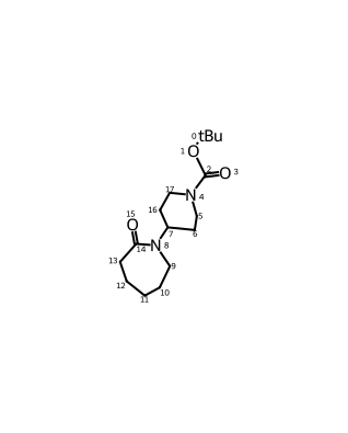 CC(C)(C)OC(=O)N1CCC(N2CCCCCC2=O)CC1